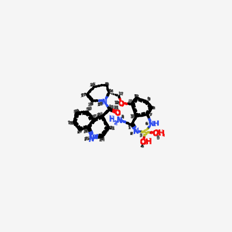 NC1=NS(O)(O)Nc2cccc(OC[C@H]3CCCCN3C(=O)c3ccnc4ccccc34)c21